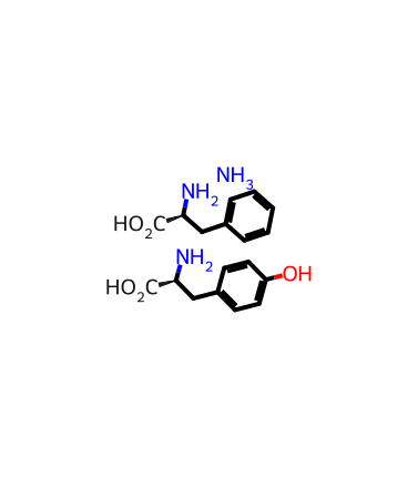 N.N[C@@H](Cc1ccc(O)cc1)C(=O)O.N[C@@H](Cc1ccccc1)C(=O)O